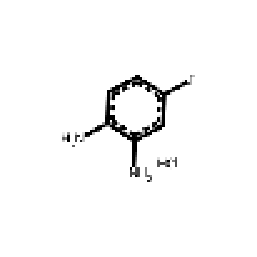 Cl.Nc1ccc(F)cc1N